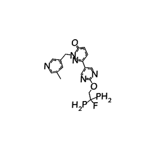 Cc1cncc(Cn2nc(-c3cnc(OCC(F)(P)P)nc3)ccc2=O)c1